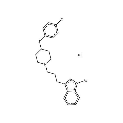 CC(=O)c1cn(CCCN2CCC(Sc3ccc(Cl)cc3)CC2)c2ccccc12.Cl